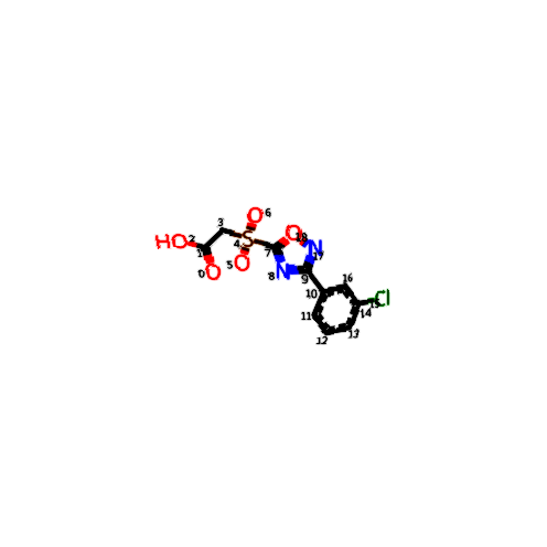 O=C(O)CS(=O)(=O)c1nc(-c2cccc(Cl)c2)no1